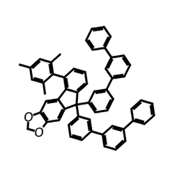 Cc1cc(C)c(-c2cccc3c2-c2cc4c(cc2C3(c2cccc(-c3cccc(-c5ccccc5)c3)c2)c2cccc(-c3cccc(-c5ccccc5)c3)c2)OCO4)c(C)c1